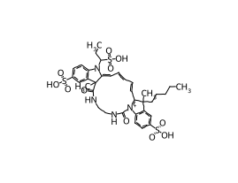 CCCCCC1(C)C2=[N+](C(=O)NCCNC(=O)C3(C)/C(=C/C=C/C=C/2)N(C(CC)S(=O)(=O)O)c2ccc(S(=O)(=O)O)cc23)c2ccc(S(=O)(=O)O)cc21